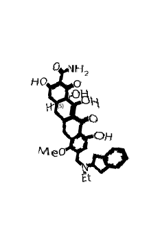 CCN(Cc1cc(O)c2c(c1OC)CC1C[C@H]3CC(O)=C(C(N)=O)C(=O)[C@@]3(O)C(O)=C1C2=O)C1Cc2ccccc2C1